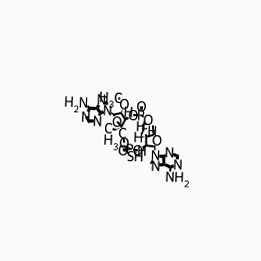 CC[C@@]12CO[P@@](=O)(S)O[C@@H]3[C@@H](F)[C@@H](CO[PH](=O)O[C@H]1[C@@H](OC)[C@H](n1cnc4c(N)ncnc41)O2)O[C@H]3n1cnc2c(N)ncnc21